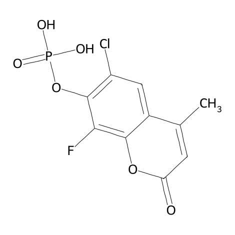 Cc1cc(=O)oc2c(F)c(OP(=O)(O)O)c(Cl)cc12